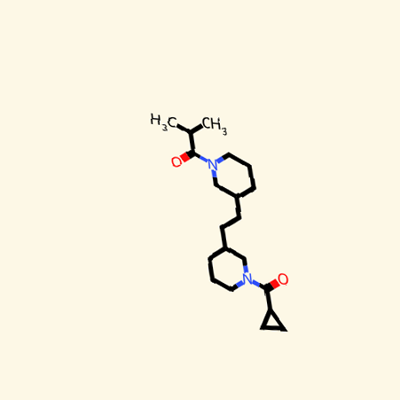 CC(C)C(=O)N1CCCC(CCC2CCCN(C(=O)C3CC3)C2)C1